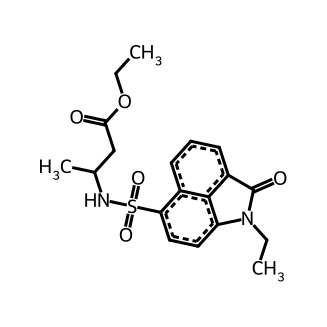 CCOC(=O)CC(C)NS(=O)(=O)c1ccc2c3c(cccc13)C(=O)N2CC